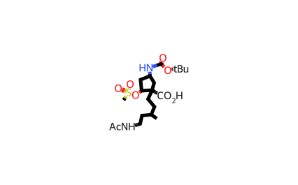 CC(=O)NCCC(C)CCC1(C(=O)O)CC(NC(=O)OC(C)(C)C)CC1OS(C)(=O)=O